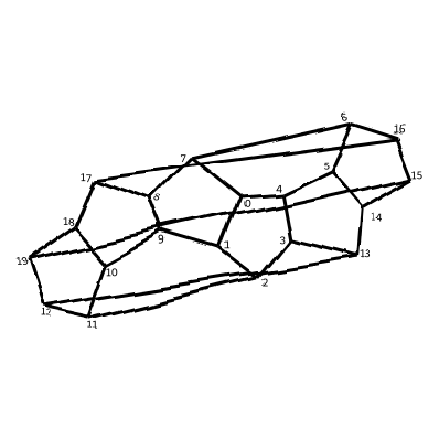 C12C3C4C5C1C1C6C2C2C3C3C4C4C5C1C1C6C2C3C41